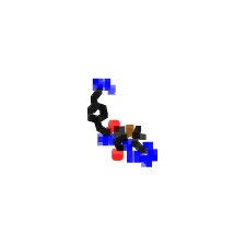 CC1(C)S[C@@H]2C(NC(=O)Cc3ccc(CCN)cc3)C(=O)N2C1c1nnn[nH]1